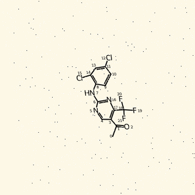 CC(=O)c1cnc(Nc2ccc(Cl)cc2Cl)nc1C(F)(F)F